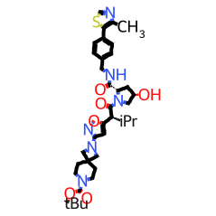 Cc1ncsc1-c1ccc(CNC(=O)[C@@H]2C[C@@H](O)CN2C(=O)[C@H](c2cc(N3CC4(CCN(C(=O)OC(C)(C)C)CC4)C3)no2)C(C)C)cc1